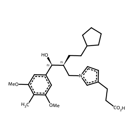 COc1cc([C@@H](O)[C@@H](CCC2CCCC2)Cn2ccc(CCC(=O)O)c2)cc(OC)c1C